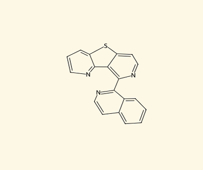 c1ccc2c(-c3nccc4sc5cccnc5c34)nccc2c1